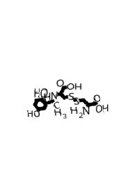 CC(NC(CSSCC(N)C(=O)O)C(=O)O)c1cc(O)ccc1O